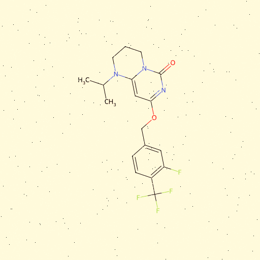 CC(C)N1CCCn2c1cc(OCc1ccc(C(F)(F)F)c(F)c1)nc2=O